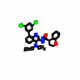 CON(C)c1c(NC(=O)[C@@H]2CCOc3ccccc32)cnc2c(-c3cc(Cl)cc(Cl)c3)cccc12